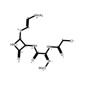 CO/N=C(/NC(=O)CCl)C(=O)NC1C(=O)NC1S/C=C/NC(C)=O